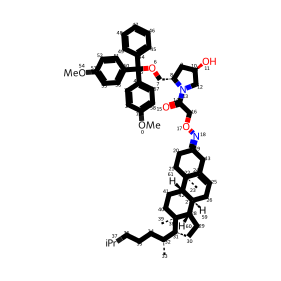 COc1ccc(C(OC[C@@H]2C[C@@H](O)CN2C(=O)CO/N=C2\CC[C@@]3(C)C(=CC[C@H]4[C@@H]5CC[C@H]([C@H](C)CCCC(C)C)[C@@]5(C)CC[C@@H]43)C2)(c2ccccc2)c2ccc(OC)cc2)cc1